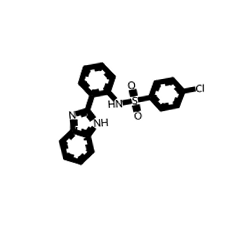 O=S(=O)(Nc1ccccc1-c1nc2ccccc2[nH]1)c1ccc(Cl)cc1